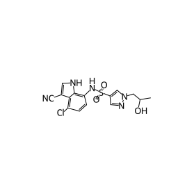 CC(O)Cn1cc(S(=O)(=O)Nc2ccc(Cl)c3c(C#N)c[nH]c23)cn1